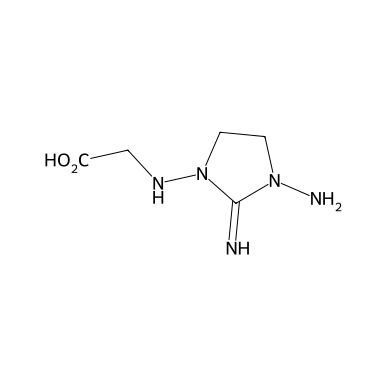 N=C1N(N)CCN1NCC(=O)O